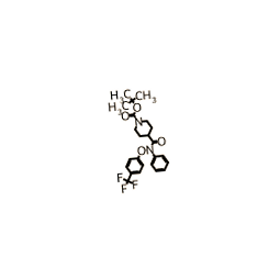 CC(C)(C)OC(=O)N1CCC(C(=O)N(Oc2ccc(C(F)(F)F)cc2)c2ccccc2)CC1